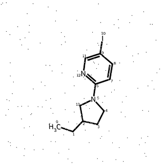 CCC1CCN(c2ccc(I)cn2)C1